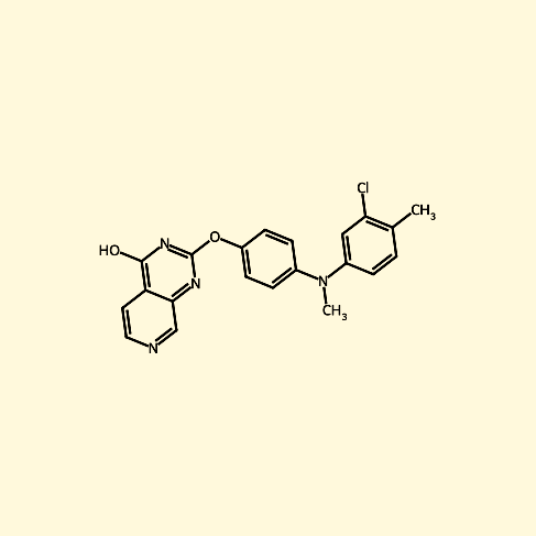 Cc1ccc(N(C)c2ccc(Oc3nc(O)c4ccncc4n3)cc2)cc1Cl